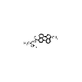 Cc1ccc2c3cccc4c(C(=O)OCC(C)C)ccc(c5cccc1c25)c43